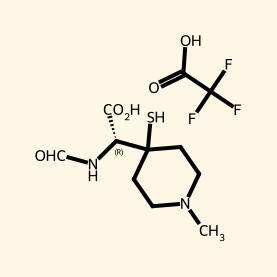 CN1CCC(S)([C@H](NC=O)C(=O)O)CC1.O=C(O)C(F)(F)F